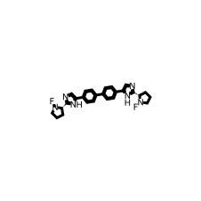 FN1CCC[C@H]1c1ncc(-c2ccc(-c3ccc(-c4cnc([C@@H]5CCCN5F)[nH]4)cc3)cc2)[nH]1